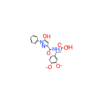 COc1ccc(C(CC(=O)O)NC(=O)c2cc(O)n(-c3ccccc3)n2)cc1OC